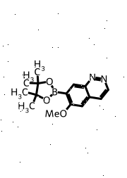 COc1cc2ccnnc2cc1B1OC(C)(C)C(C)(C)O1